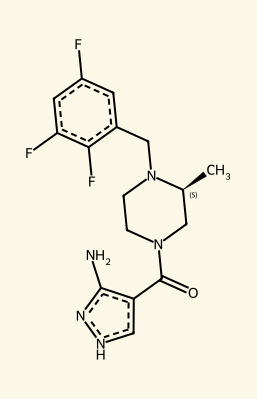 C[C@H]1CN(C(=O)c2c[nH]nc2N)CCN1Cc1cc(F)cc(F)c1F